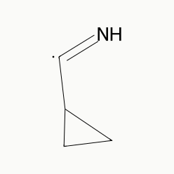 N=[C]C1CC1